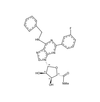 CNC(=O)[C@H]1O[C@@H](n2cnc3c(NCc4ccccc4)nc(-c4cccc(F)c4)nc32)[C@H](O)[C@@H]1O